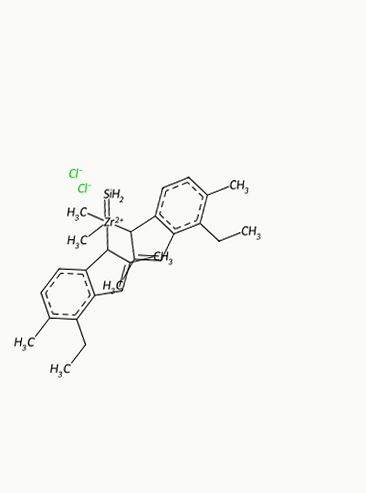 CCc1c(C)ccc2c1C=C(C)[CH]2[Zr+2]([CH3])([CH3])(=[SiH2])[CH]1C(C)=Cc2c1ccc(C)c2CC.[Cl-].[Cl-]